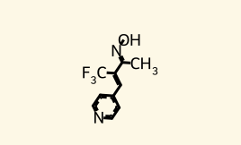 CC(=N\O)/C(=C/c1ccncc1)C(F)(F)F